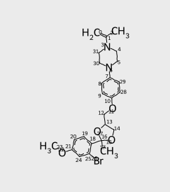 C=C(C)N1CCN(c2ccc(OCC3COC(C)(c4ccc(OC)cc4Br)O3)cc2)CC1